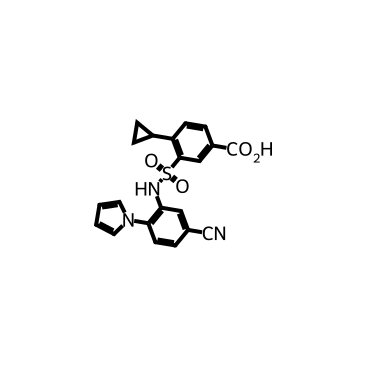 N#Cc1ccc(-n2cccc2)c(NS(=O)(=O)c2cc(C(=O)O)ccc2C2CC2)c1